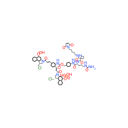 NC(=O)NCCC[C@H](NC(=O)C1(C(=O)NCCCCCN2C(=O)C=CC2=O)CCC1)C(=O)Nc1ccc(COC(=O)Nc2cc(/C=C/C(=O)N3C[C@@H](CCl)c4c3cc(OO)c3ccccc43)ccc2/C=C/C(=O)N2C[C@@H](CCl)c3c2cc(OP(=O)(O)O)c2ccccc32)cc1